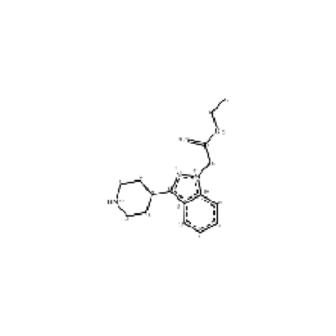 CCOC(=O)Cn1nc(C2CCNCC2)c2ccccc21